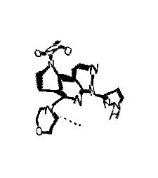 C[C@@H]1COCCN1c1nc2c(cnn2-c2cc[nH]n2)c2c1CCN2S(C)(=O)=O